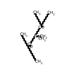 CCCCCCCCCCCCC(CCCCCCCCCC)C(=O)OCCCCCCN(CCCCCCOC(=O)C(CCCCCCCCCC)CCCCCCCCCC)CCN(C)C